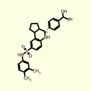 Cc1ccc(NS(=O)(=O)c2ccc3c(c2)C2CCCC2[C@H](c2ccc(C(O)C(C)C)cc2)N3)cc1C